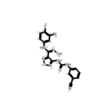 N#Cc1cccc(NC(=O)Nc2nonc2/C(=N\O)Nc2ccc(F)c(Br)c2)c1